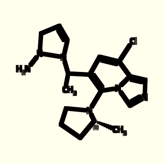 CC(c1cc(Cl)c2cncn2c1N1CCC[C@H]1C)N1C=CCN1N